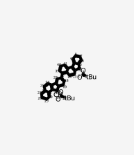 CC(C)(C)C(=O)OC1c2ccccc2-c2c1ccc1c(-c3ccc4c(c3)-c3ccc5ccccc5c3C4(C)OC(=O)C(C)(C)C)cccc21